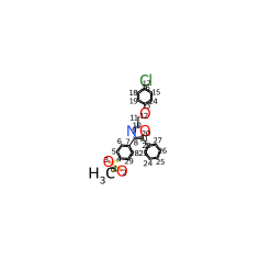 CS(=O)(=O)c1ccc(-c2nc(COc3ccc(Cl)cc3)oc2-c2ccccc2)cc1